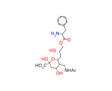 CC(=O)NCC1C(O)CC(O)(C(=O)O)OC1C[C@H](O)COC(=O)C(N)Cc1ccccc1